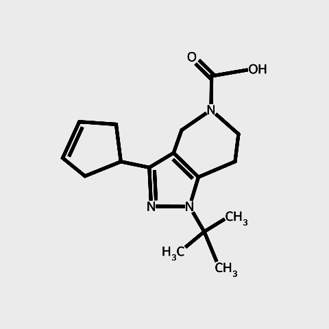 CC(C)(C)n1nc(C2CC=CC2)c2c1CCN(C(=O)O)C2